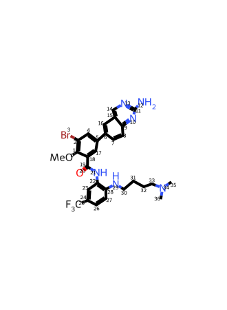 COc1c(Br)cc(-c2ccc3nc(N)ncc3c2)cc1C(=O)Nc1cc(C(F)(F)F)ccc1NCCCCN(C)C